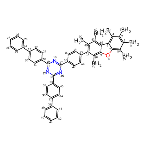 Bc1c(B)c(B)c2c(oc3c(B)c(-c4ccc(-c5nc(-c6ccc(-c7ccccc7)cc6)nc(-c6ccc(-c7ccccc7)cc6)n5)cc4)c(B)c(B)c32)c1B